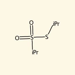 CC(C)SS(=O)(=O)C(C)C